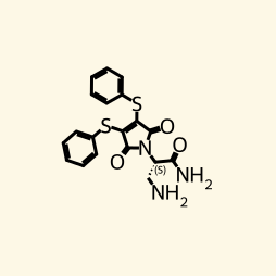 NC[C@@H](C(N)=O)N1C(=O)C(Sc2ccccc2)=C(Sc2ccccc2)C1=O